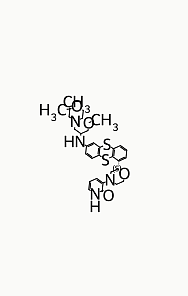 COCC(CN1CCOC(C)(C)C1)Nc1ccc2c(c1)Sc1cccc([C@H]3CN(c4ccc[nH]c4=O)CCO3)c1S2